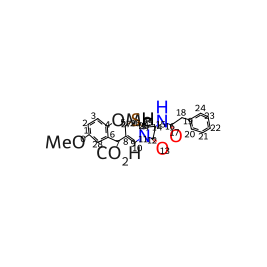 COc1ccc(OC)c(CC2=C(C(=O)O)N3C(=O)C(NC(=O)Cc4ccccc4)[C@@H]3SC2)c1